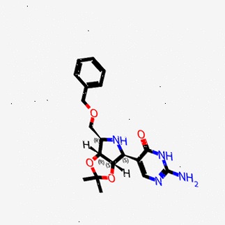 CC1(C)O[C@@H]2[C@H](O1)[C@@H](COCc1ccccc1)N[C@H]2c1cnc(N)[nH]c1=O